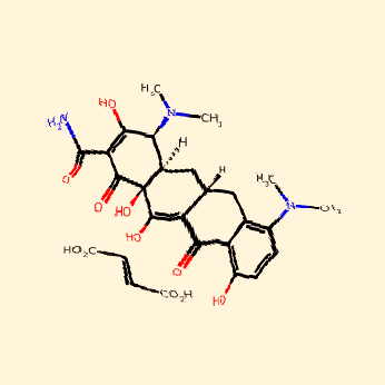 CN(C)c1ccc(O)c2c1C[C@H]1C[C@@H]3[C@H](N(C)C)C(O)=C(C(N)=O)C(=O)[C@@]3(O)C(O)=C1C2=O.O=C(O)C=CC(=O)O